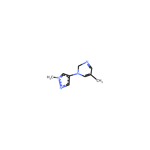 CC1=CN(c2cnn(C)c2)CN=C1